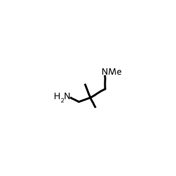 CNCC(C)(C)CN